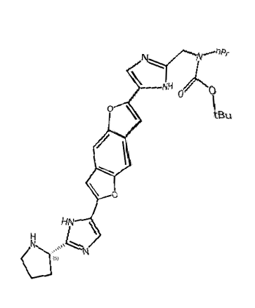 CCCN(Cc1ncc(-c2cc3cc4oc(-c5cnc([C@@H]6CCCN6)[nH]5)cc4cc3o2)[nH]1)C(=O)OC(C)(C)C